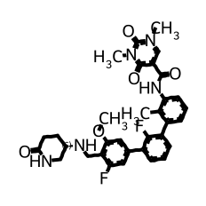 COc1cc(-c2cccc(-c3cccc(NC(=O)c4cn(C)c(=O)n(C)c4=O)c3C)c2F)cc(F)c1CN[C@H]1CCC(=O)NC1